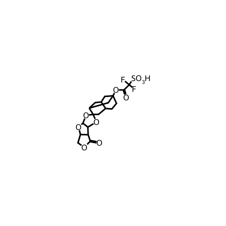 O=C1OCC2OC3OC4(CC5CCC6(OC(=O)C(F)(F)S(=O)(=O)O)CC5CC4C6)OC3C12